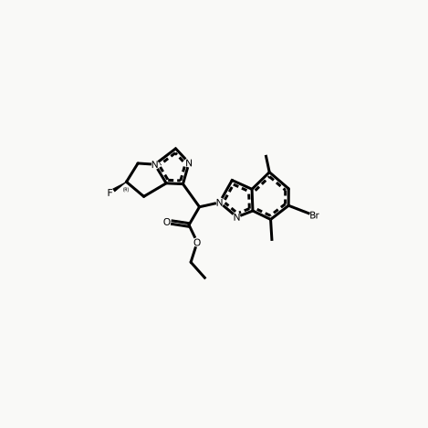 CCOC(=O)C(c1ncn2c1C[C@@H](F)C2)n1cc2c(C)cc(Br)c(C)c2n1